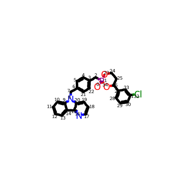 O=P1(Cc2ccc(Cn3c4ccccc4c4ncccc43)cc2)OCCC(c2cccc(Cl)c2)O1